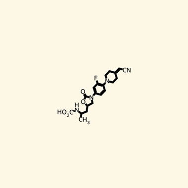 CC(CC1CN(c2ccc(N3CCC(=CC#N)CC3)c(F)c2)C(=O)O1)NC(=O)O